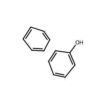 Oc1c[c]ccc1.[c]1ccccc1